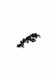 CC1(CNC(=O)CC2CN=C(c3cc4cc(Oc5ccc(S(C)(=O)=O)nc5)cc(OC5CCOCC5)c4[nH]3)S2)COC1